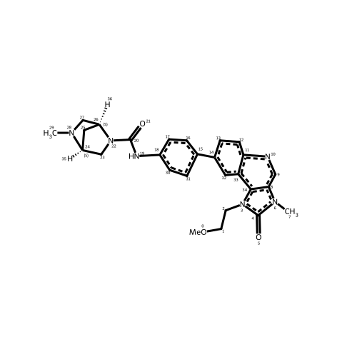 COCCn1c(=O)n(C)c2cnc3ccc(-c4ccc(NC(=O)N5C[C@@H]6C[C@H]5CN6C)cc4)cc3c21